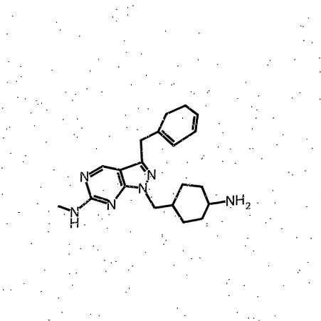 CNc1ncc2c(CC3=CC=CCC3)nn(CC3CCC(N)CC3)c2n1